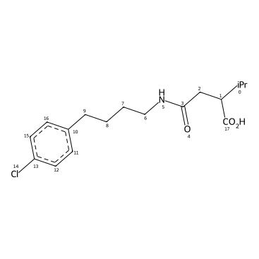 CC(C)C(CC(=O)NCCCCc1ccc(Cl)cc1)C(=O)O